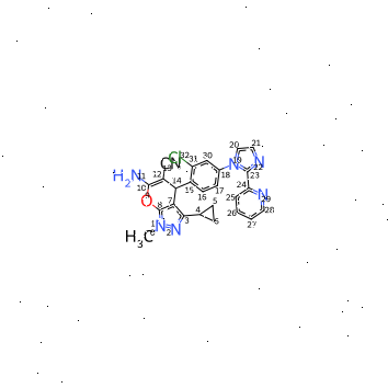 Cn1nc(C2CC2)c2c1OC(N)=C(C#N)C2c1ccc(-n2ccnc2-c2ccccn2)cc1Cl